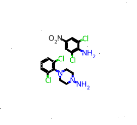 NN1CCN(c2c(Cl)cccc2Cl)CC1.Nc1c(Cl)cc([N+](=O)[O-])cc1Cl